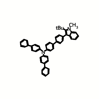 Cn1c(C(C)(C)C)c(-c2ccc(-c3ccc(N(c4ccc(-c5ccccc5)cc4)c4ccc(-c5ccccc5)cc4)cc3)cc2)c2ccccc21